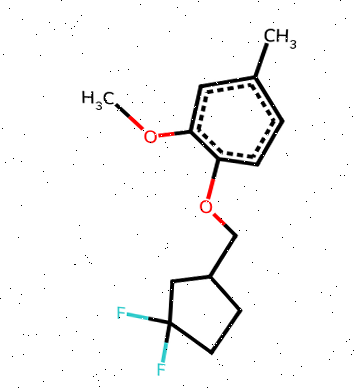 COc1cc(C)ccc1OCC1CCC(F)(F)C1